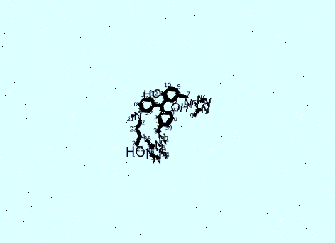 Cc1nnnn1N=Cc1ccc(O)c(C(c2cccc(N(C)CCCCO)c2)c2cc(C=Nn3nnnc3C)ccc2O)c1